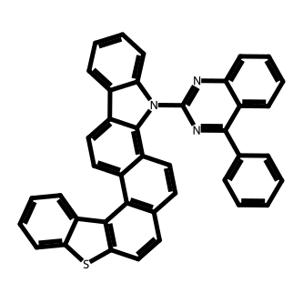 c1ccc(-c2nc(-n3c4ccccc4c4ccc5c(ccc6ccc7sc8ccccc8c7c65)c43)nc3ccccc23)cc1